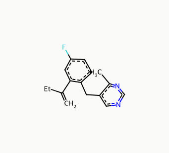 C=C(CC)c1cc(F)ccc1Cc1cncnc1C